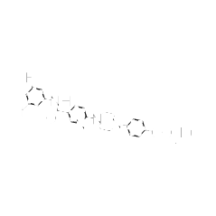 CCOC(=O)c1ccc(N2CCN(c3ccc(C(=O)Nc4cc(F)cc(I)c4)cn3)CC2)cc1